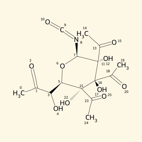 CC(=O)C(O)[C@H]1O[C@@H](N=C=O)[C@@](O)(C(C)=O)[C@](O)(C(C)=O)[C@@]1(O)C(C)=O